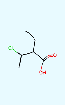 CCC(C(=O)O)C(C)Cl